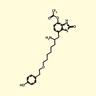 NC(CCCCCCOCCc1ccc(O)cc1)Cc1ccc(OC(=O)C(F)(F)F)c2[nH]c(=O)sc12